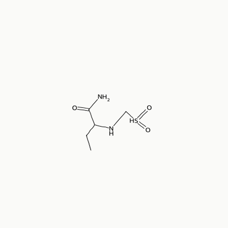 CCC(NC[SH](=O)=O)C(N)=O